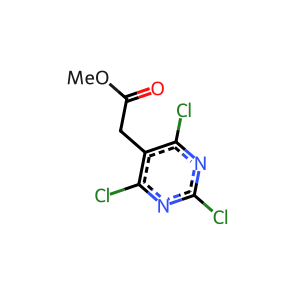 COC(=O)Cc1c(Cl)nc(Cl)nc1Cl